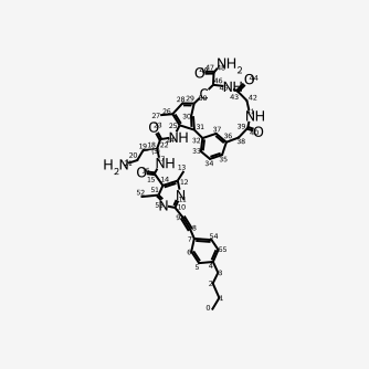 CCCCc1ccc(C#Cc2nc(C)c(C(=O)N[C@@H](CCN)C(=O)Nc3c(C)cc4cc3-c3cccc(c3)CC(=O)NCC(=O)NC(C(N)=O)C4)c(C)n2)cc1